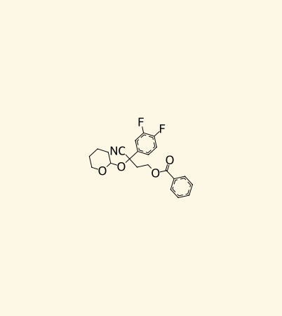 N#CC(CCOC(=O)c1ccccc1)(OC1CCCCO1)c1ccc(F)c(F)c1